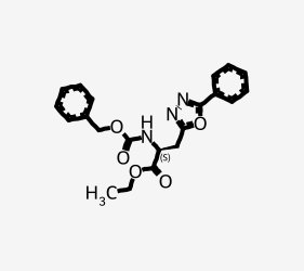 CCOC(=O)[C@H](Cc1nnc(-c2ccccc2)o1)NC(=O)OCc1ccccc1